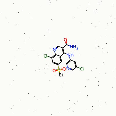 CCS(=O)(=O)c1cc(Cl)c2ncc(C(N)=O)c(Nc3cncc(Cl)c3)c2c1